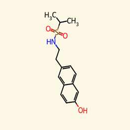 CC(C)S(=O)(=O)NCCc1ccc2cc(O)ccc2c1